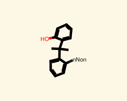 CCCCCCCCCc1ccccc1C(C)(C)c1ccccc1O